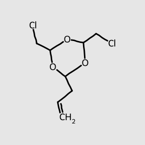 C=CCC1OC(CCl)OC(CCl)O1